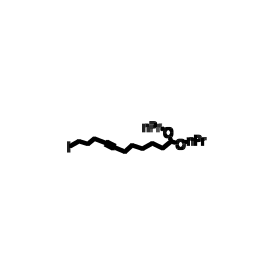 CCCOC(CCCCCC#CCCCI)OCCC